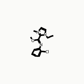 CCn1cc[n+](C)c1/C(=N/c1ccccc1Cl)OC